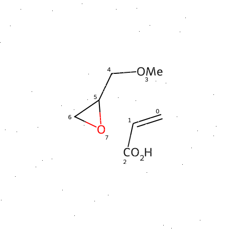 C=CC(=O)O.COCC1CO1